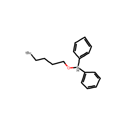 CC(C)(C)CCC[CH]O[SiH](c1ccccc1)c1ccccc1